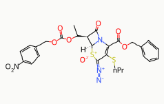 CCCSC1=C(C(=O)OCc2ccccc2)N2C(=O)[C@H](C(C)OC(=O)OCc3ccc([N+](=O)[O-])cc3)[C@@H]2[S@@+]([O-])C1=[N+]=[N-]